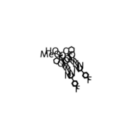 COC(=O)C1(CS(=O)(=O)N2CCN(c3ncc(-c4ccc(F)cc4)cn3)CC2)CCCCC1.O=C(O)C1(CS(=O)(=O)N2CCN(c3ncc(-c4ccc(F)cc4)cn3)CC2)CCCCC1